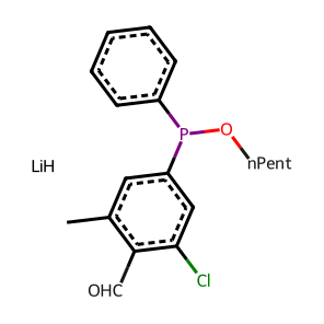 CCCCCOP(c1ccccc1)c1cc(C)c(C=O)c(Cl)c1.[LiH]